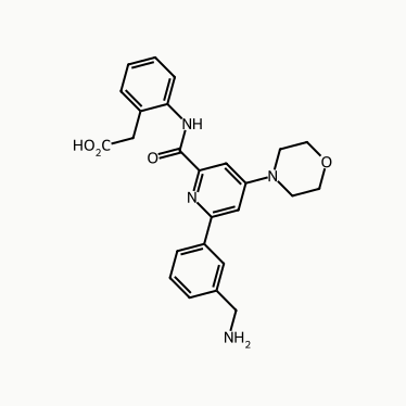 NCc1cccc(-c2cc(N3CCOCC3)cc(C(=O)Nc3ccccc3CC(=O)O)n2)c1